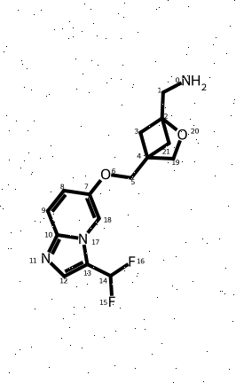 NCC12CC(COc3ccc4ncc(C(F)F)n4c3)(CO1)C2